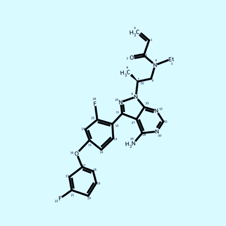 C=CC(=O)N(CC)C[C@H](C)n1nc(-c2ccc(Oc3cccc(F)c3)cc2F)c2c(N)ncnc21